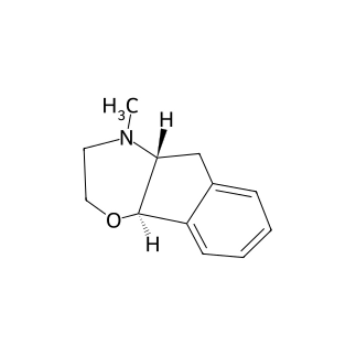 CN1CCO[C@@H]2c3ccccc3C[C@H]21